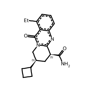 CCc1cccc2nc3n(c(=O)c12)C[C@H](C1CCC1)C[C@@H]3C(N)=O